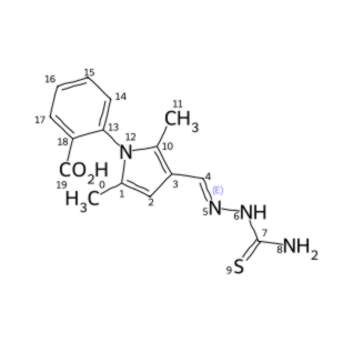 Cc1cc(/C=N/NC(N)=S)c(C)n1-c1ccccc1C(=O)O